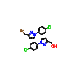 Clc1ccc(-n2ccc(CBr)n2)cc1.OCc1ccn(-c2ccc(Cl)cc2)n1